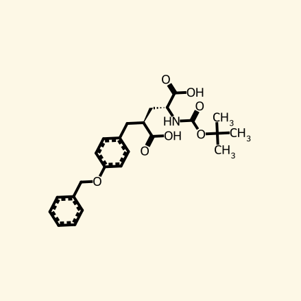 CC(C)(C)OC(=O)N[C@H](C[C@H](Cc1ccc(OCc2ccccc2)cc1)C(=O)O)C(=O)O